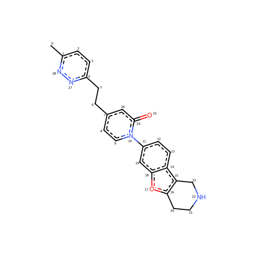 Cc1ccc(CCc2ccn(-c3ccc4c5c(oc4c3)CCNC5)c(=O)c2)nn1